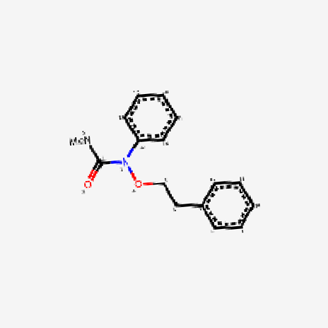 CNC(=O)N(OCCc1ccccc1)c1ccccc1